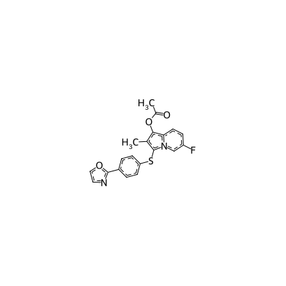 CC(=O)Oc1c(C)c(Sc2ccc(-c3ncco3)cc2)n2cc(F)ccc12